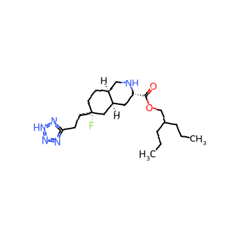 CCCC(CCC)COC(=O)[C@@H]1C[C@H]2C[C@@](F)(CCc3nn[nH]n3)CC[C@H]2CN1